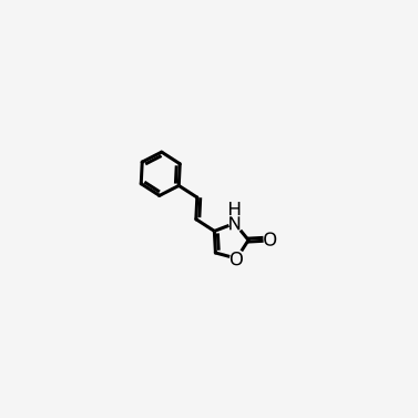 O=c1[nH]c(C=Cc2ccccc2)co1